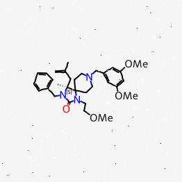 C=C(C)C[C@]1(C)N(Cc2ccccc2)C(=O)N(CCOC)C12CCN(Cc1cc(OC)cc(OC)c1)CC2